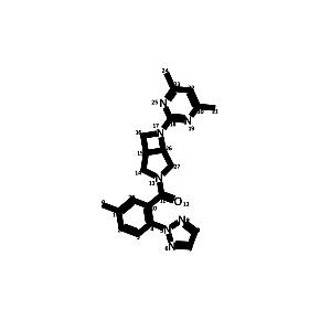 Cc1ccc(-n2nccn2)c(C(=O)N2CC3CN(c4nc(C)cc(C)n4)C3C2)c1